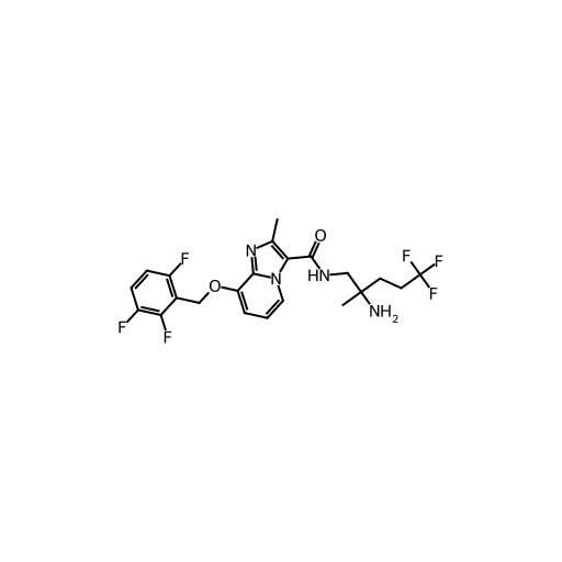 Cc1nc2c(OCc3c(F)ccc(F)c3F)cccn2c1C(=O)NCC(C)(N)CCC(F)(F)F